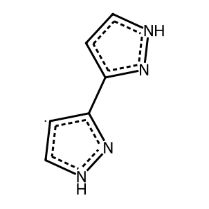 [c]1c[nH]nc1-c1cc[nH]n1